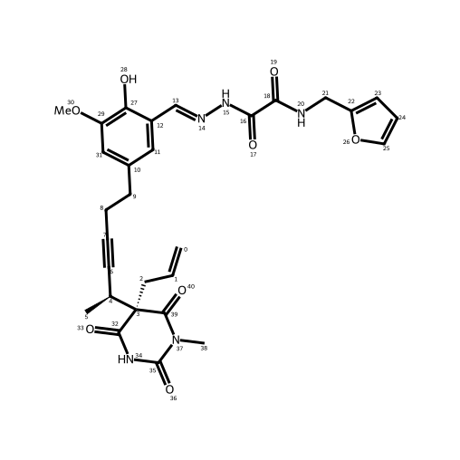 C=CC[C@@]1([C@@H](C)C#CCCc2cc(/C=N/NC(=O)C(=O)NCc3ccco3)c(O)c(OC)c2)C(=O)NC(=O)N(C)C1=O